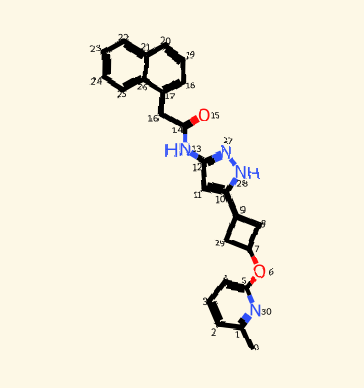 Cc1cccc(OC2CC(c3cc(NC(=O)Cc4cccc5ccccc45)n[nH]3)C2)n1